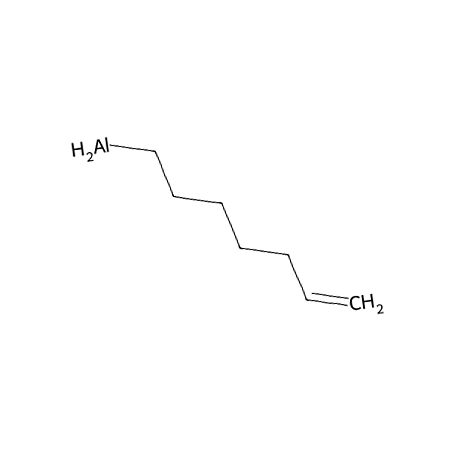 C=CCCCC[CH2][AlH2]